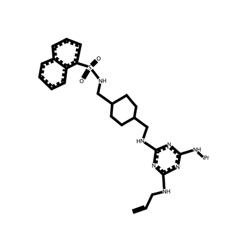 C=CCNc1nc(NCC2CCC(CNS(=O)(=O)c3cccc4ccccc34)CC2)nc(NC(C)C)n1